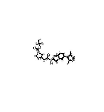 Cc1noc(C)c1-c1ccc2nc(NC(=O)CC3CCN(C(=O)OC(C)(C)C)C3)cn2c1